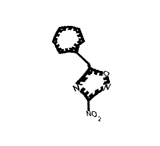 O=[N+]([O-])c1noc(-c2ccccc2)n1